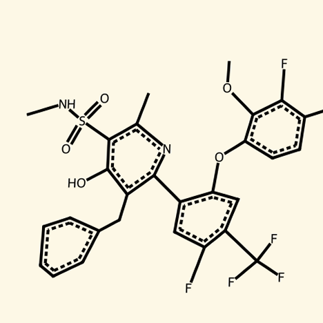 CNS(=O)(=O)c1c(C)nc(-c2cc(F)c(C(F)(F)F)cc2Oc2ccc(F)c(F)c2OC)c(Cc2ccccc2)c1O